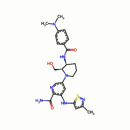 Cc1cc(Nc2cc(N3CCC[C@H](NC(=O)c4ccc(N(C)C)cc4)[C@@H]3CO)cnc2C(N)=O)sn1